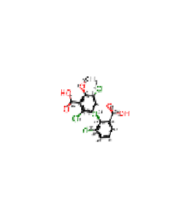 COc1c(Cl)ccc(Cl)c1C(=O)O.O=C(O)c1cccc(Cl)c1Cl